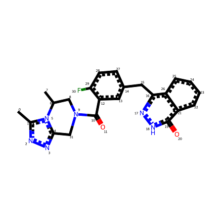 Cc1nnc2n1C(C)CN(C(=O)c1cc(Cc3n[nH]c(=O)c4ccccc34)ccc1F)C2